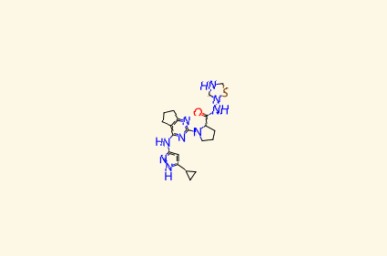 O=C(NN1CNCS1)C1CCCN1c1nc2c(c(Nc3cc(C4CC4)[nH]n3)n1)CCC2